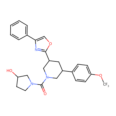 O=C(N1CCC(O)C1)N1CC(c2ccc(OC(F)(F)F)cc2)CC(c2nc(-c3ccccc3)co2)C1